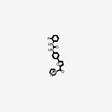 O=C(Nc1ccc(-c2ccc(C(=O)N3CCN4CCC3CC4)o2)cc1)Nc1ccccc1F